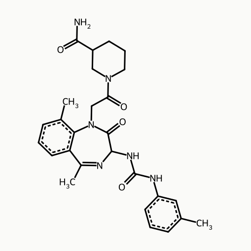 CC1=NC(NC(=O)Nc2cccc(C)c2)C(=O)N(CC(=O)N2CCCC(C(N)=O)C2)c2c(C)cccc21